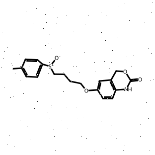 Cc1ccc([S+]([O-])CCCCOc2ccc3c(c2)COC(=O)N3)cc1